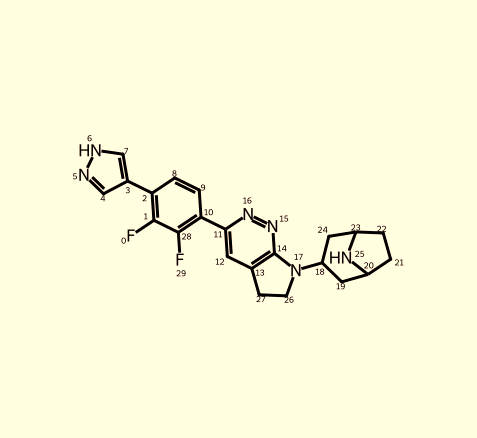 Fc1c(-c2cn[nH]c2)ccc(-c2cc3c(nn2)N(C2CC4CCC(C2)N4)CC3)c1F